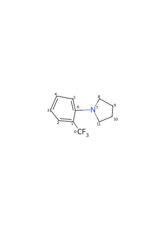 FC(F)(F)c1c[c]ccc1N1CCCC1